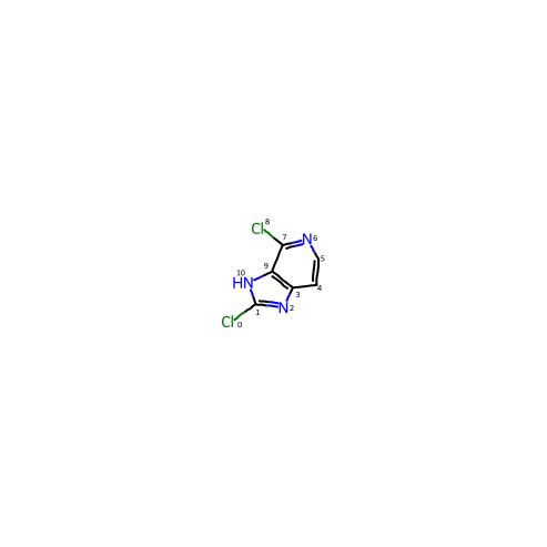 Clc1nc2ccnc(Cl)c2[nH]1